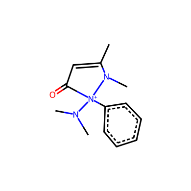 CC1=CC(=O)[N+](c2ccccc2)(N(C)C)N1C